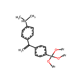 C=C(c1ccc([SiH](C)C)cc1)c1ccc([Si](OC(C)C)(OC(C)C)OC(C)C)cc1